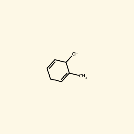 CC1=CCC=CC1O